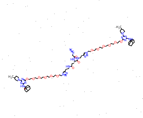 CC1CCN(c2nc(NC34CC5CC(CC(C5)C3)C4)nc(OCCOCCOCCOCCOCCOCCn3cc(CCNC(=O)CC[C@H](NC(=O)CN=[N+]=[N-])C(=O)NCCc4cn(CCOCCOCCOCCOCCOCCOc5nc(NC67CC8CC(CC(C8)C6)C7)nc(N6CCC(C)CC6)n5)nn4)nn3)n2)CC1